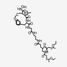 CCOC(C)SCC(=O)NCC(CCC(=O)NCCCNC(=O)CNC(=O)C1Cc2ccc(cc2)OCCCC(C(=O)NO)[C@@H](CC(C)C)C(=O)N1)NC(=O)CSC(C)OCC